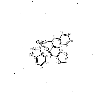 COc1ccc(C(Cc2ccccc2)NS(=O)(=O)c2n[nH]c3ncccc23)cc1OC